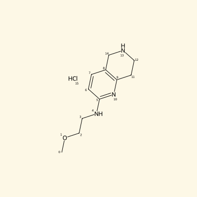 COCCNc1ccc2c(n1)CCNC2.Cl